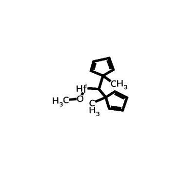 C[O][Hf][CH](C1(C)C=CC=C1)C1(C)C=CC=C1